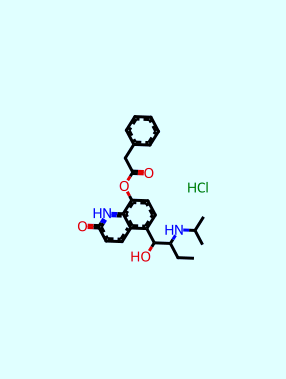 CCC(NC(C)C)C(O)c1ccc(OC(=O)Cc2ccccc2)c2[nH]c(=O)ccc12.Cl